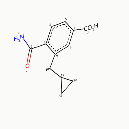 NC(=O)c1ccc(C(=O)O)cc1CC1CC1